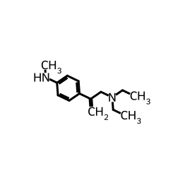 C=C(CN(CC)CC)c1ccc(NC)cc1